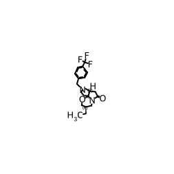 CC[C@H]1CO[C@]23CCN(Cc4ccc(C(F)(F)F)cc4)C[C@H]2CC(=O)N3C1